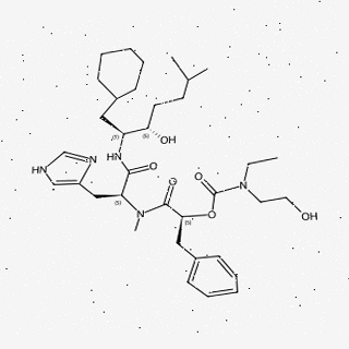 CCN(CCO)C(=O)O[C@@H](Cc1ccccc1)C(=O)N(C)[C@@H](Cc1c[nH]cn1)C(=O)N[C@@H](CC1CCCCC1)[C@@H](O)CCC(C)C